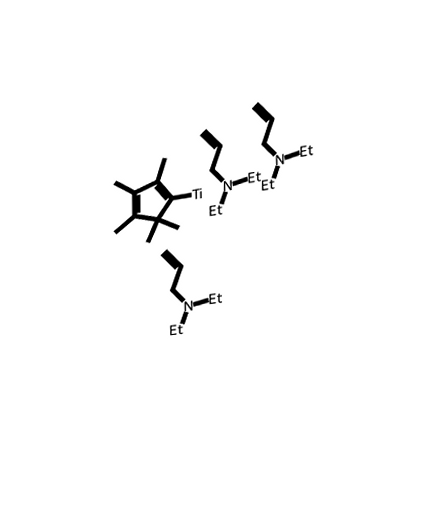 C=CCN(CC)CC.C=CCN(CC)CC.C=CCN(CC)CC.CC1=C(C)C(C)(C)[C]([Ti])=C1C